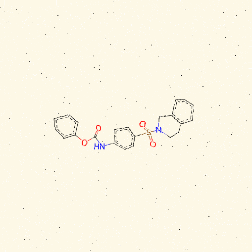 O=C(Nc1ccc(S(=O)(=O)N2CCc3ccccc3C2)cc1)Oc1ccccc1